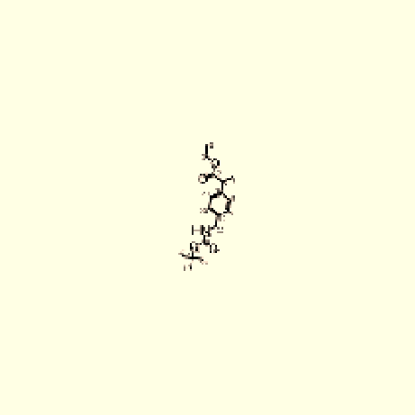 CCOC(=O)C(C)c1ccc(CNC(=O)OC(C)(C)C)cc1